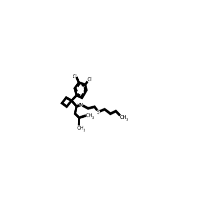 CCCCSCCNC(CC(C)C)C1(c2ccc(Cl)c(Cl)c2)CCC1